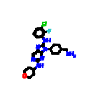 NC[C@H]1CC[C@@H](n2c(Nc3cccc(Cl)c3F)nc3cnc(NC4CCOCC4)nc32)CC1